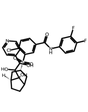 O=C(Nc1ccc(F)c(F)c1)c1ccc(Cl)c(S(=O)(=O)[C@@H]2CC3CC[C@@H](C2)[C@@]3(O)C(O)C(O)c2ccncc2)c1